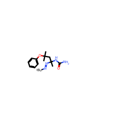 CC(C)(C)N=NC(C)(CC(C)(C)Oc1ccccc1)NC(N)=O